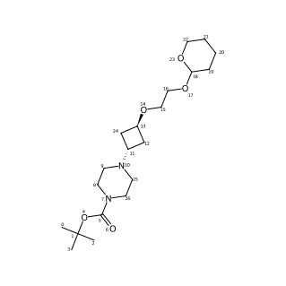 CC(C)(C)OC(=O)N1CCN([C@H]2C[C@H](OCCOC3CCCCO3)C2)CC1